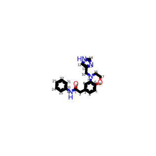 O=C(Cc1ccc2c(c1)N(Cc1c[nH]cn1)CCO2)Nc1ccccc1